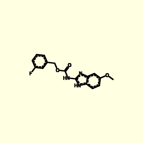 COc1ccc2[nH]c(NC(=O)OCc3cccc(F)c3)nc2c1